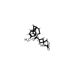 Cc1ccc(C23CCN(C(=O)C4CC5(COC(=O)N5)C4)CC2C3)cc1